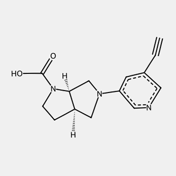 C#Cc1cncc(N2C[C@H]3CCN(C(=O)O)[C@H]3C2)c1